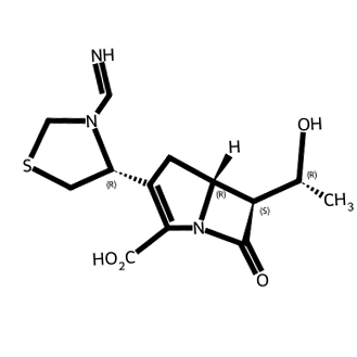 C[C@@H](O)[C@H]1C(=O)N2C(C(=O)O)=C([C@@H]3CSCN3C=N)C[C@H]12